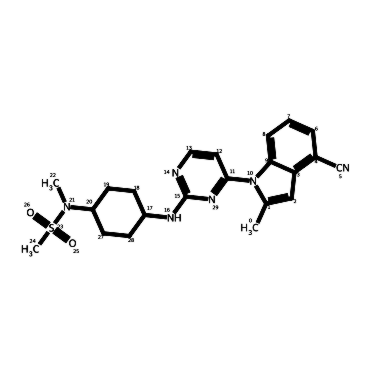 Cc1cc2c(C#N)cccc2n1-c1ccnc(NC2CCC(N(C)S(C)(=O)=O)CC2)n1